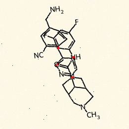 CN1CC2CN(C(=O)Nc3cc(F)cc(F)c3)CC(C1)C2c1ccc(-c2ccc(CN)cc2C#N)cn1